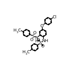 Cc1ccc(S(=O)(=O)Nc2ccc(Oc3ccc(Cl)cc3)cc2NS(=O)(=O)c2ccc(C)cc2)cc1